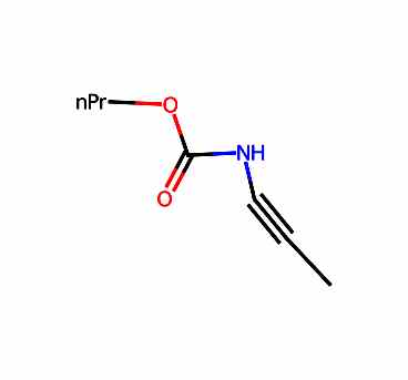 CC#CNC(=O)OCCC